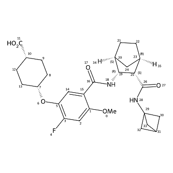 COc1cc(F)c(O[C@H]2CC[C@@H](C(=O)O)CC2)cc1C(=O)N[C@@H]1[C@H]2CC[C@H](C2)[C@@H]1C(=O)NC12CC(C1)C2